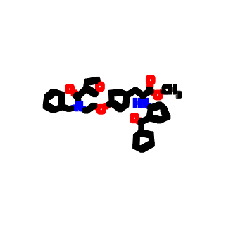 COC(=O)C(Cc1ccc(OCCN(Cc2ccccc2)C(=O)c2ccoc2)cc1)Nc1ccccc1C(=O)c1ccccc1